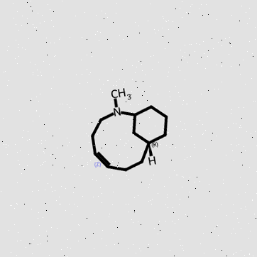 CN1CC/C=C\CC[C@H]2CCCC1C2